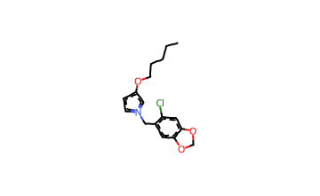 CCCCCOc1ccn(Cc2cc3c(cc2Cl)OCO3)c1